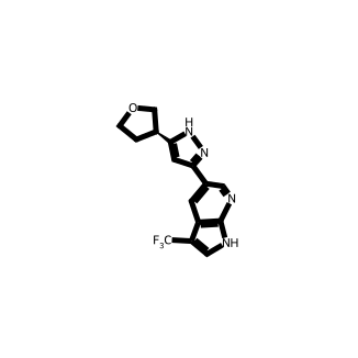 FC(F)(F)c1c[nH]c2ncc(-c3cc([C@H]4CCOC4)[nH]n3)cc12